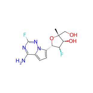 C[C@]1(CO)O[C@@H](c2ccc3c(N)nc(F)nn23)[C@H](F)[C@@H]1O